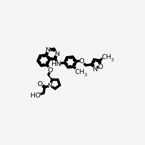 Cc1cc(COc2ccc(Nc3ncnc4cccc(OC[C@H]5CCCN5C(=O)CO)c34)cc2C)no1